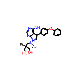 CCC(CO)(CO)CN(C(C)=O)n1cc(-c2ccc(Oc3ccccc3)cc2)c2c(N)ncnc21